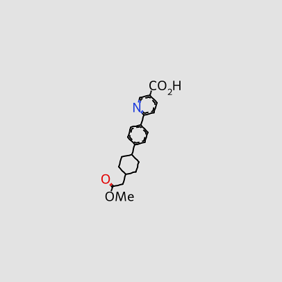 COC(=O)CC1CCC(c2ccc(-c3ccc(C(=O)O)cn3)cc2)CC1